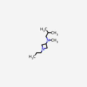 CCCN1CC(N(C)CC(C)C)C1